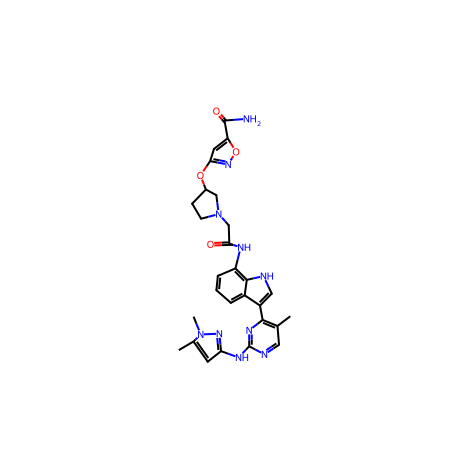 Cc1cnc(Nc2cc(C)n(C)n2)nc1-c1c[nH]c2c(NC(=O)CN3CCC(Oc4cc(C(N)=O)on4)C3)cccc12